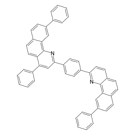 c1ccc(-c2ccc3ccc4ccc(-c5ccc(-c6cc(-c7ccccc7)c7ccc8ccc(-c9ccccc9)cc8c7n6)cc5)nc4c3c2)cc1